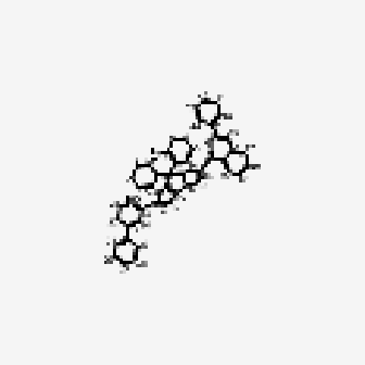 C1=CC2=C(CC1)SC1CCC=CC1C21C2=C(C=CC(C3=NCCC(c4ccccc4)=C3)C2)C2C=CC(c3nc(-c4ccccc4)cc4ccccc34)=CC21